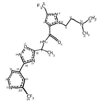 CC(NC(=O)c1cc(C(F)(F)F)nn1CCN(C)C)c1nc(-c2ccnc(C(F)(F)F)c2)no1